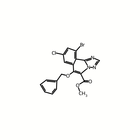 COC(=O)c1c(OCc2ccccc2)c2cc(Cl)cc(Br)c2c2ncnn12